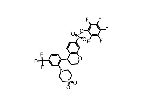 O=S1(=O)CCN(c2cc(C(F)(F)F)ccc2[C@@H]2CCOc3cc(S(=O)(=O)Oc4c(F)c(F)c(F)c(F)c4F)ccc32)CC1